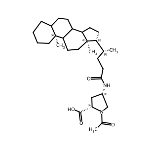 CC(=O)N1C[C@@H](NC(=O)CC[C@@H](C)[C@H]2CCC3C4CCC5CCCC[C@]5(C)C4CC[C@@]32C)C[C@H]1C(=O)O